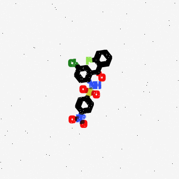 O=C(c1ccccc1F)c1cc(Cl)ccc1NS(=O)(=O)c1ccc([N+](=O)[O-])cc1